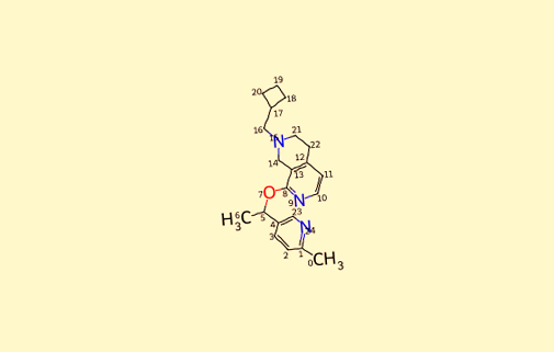 Cc1ccc(C(C)Oc2nccc3c2CN(CC2CCC2)CC3)cn1